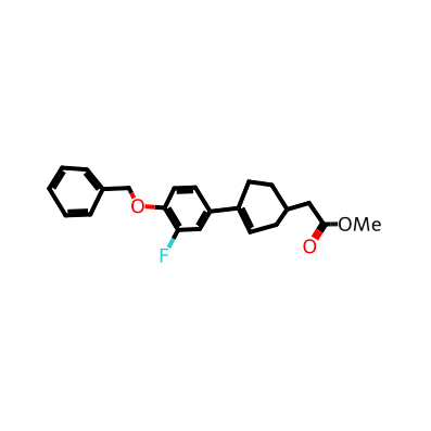 COC(=O)CC1CC=C(c2ccc(OCc3ccccc3)c(F)c2)CC1